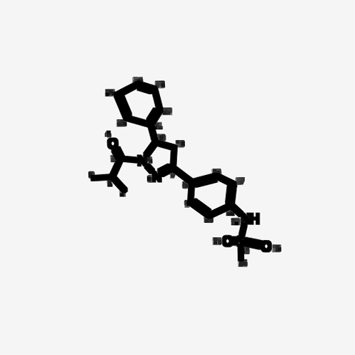 CC(C)C(=O)N1N=C(c2ccc(NS(C)(=O)=O)cc2)CC1c1ccccc1